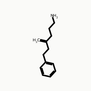 C=C(CCCN)CCc1ccccc1